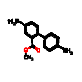 Bc1ccc(-c2ccc(B)cc2C(=O)OC)cc1